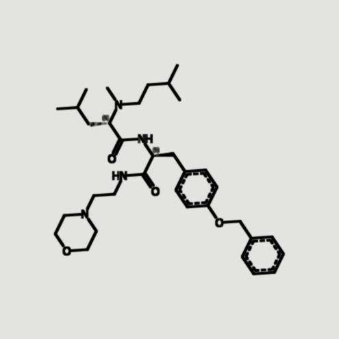 CC(C)CCN(C)[C@@H](CC(C)C)C(=O)N[C@@H](Cc1ccc(OCc2ccccc2)cc1)C(=O)NCCN1CCOCC1